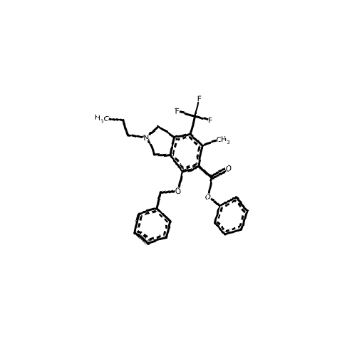 CCCN1Cc2c(c(C(F)(F)F)c(C)c(C(=O)Oc3ccccc3)c2OCc2ccccc2)C1